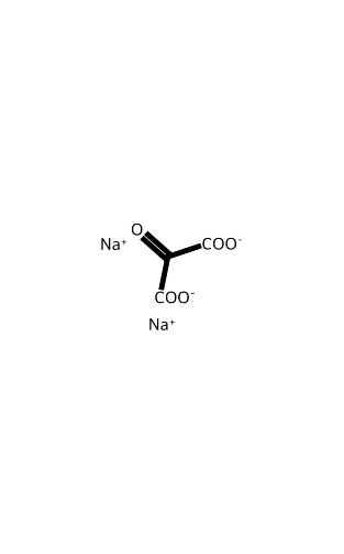 O=C([O-])C(=O)C(=O)[O-].[Na+].[Na+]